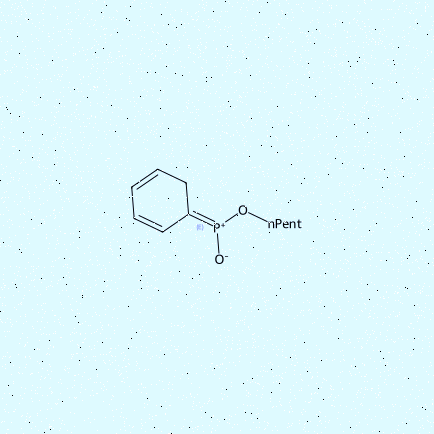 CCCCCO/[P+]([O-])=C1/C=CC=CC1